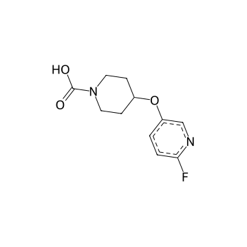 O=C(O)N1CCC(Oc2ccc(F)nc2)CC1